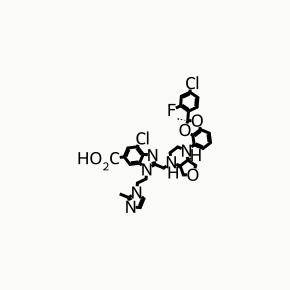 Cc1nccn1CCn1c(CN2CCN(c3cccc4c3O[C@@](C)(c3ccc(Cl)cc3F)O4)[C@@H]3COC[C@@H]32)nc2c(Cl)cc(C(=O)O)cc21